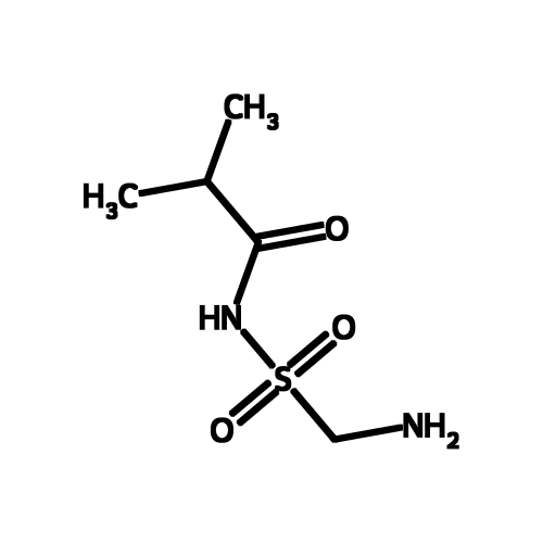 CC(C)C(=O)NS(=O)(=O)CN